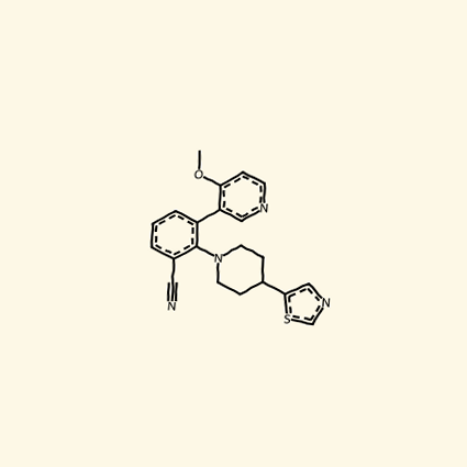 COc1ccncc1-c1cccc(C#N)c1N1CCC(c2cncs2)CC1